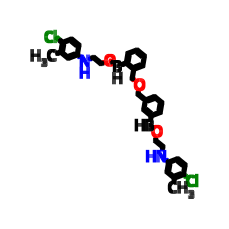 Cc1cc(NCCOBc2cccc(COCc3ccccc3BOCCNc3ccc(Cl)c(C)c3)c2)ccc1Cl